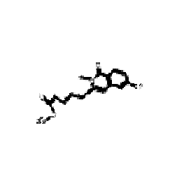 Cn1c(CCCCC(=O)OC(C)(C)C)cc2cc(C#N)ccc2c1=O